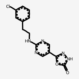 O=c1[nH]nc(-c2cnc(NCCc3cccc(Cl)c3)nc2)o1